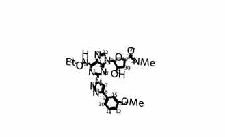 CCONc1nc(-n2cc(-c3cccc(OC)c3)nn2)nc2c1ncn2C1O[C@H](C(=O)NC)C[C@H]1O